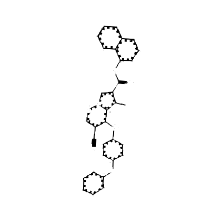 Cc1c(C(=O)Nc2cccc3ccccc23)cn2ncc(C#N)c(Nc3ccc(Oc4ccccc4)cc3)c12